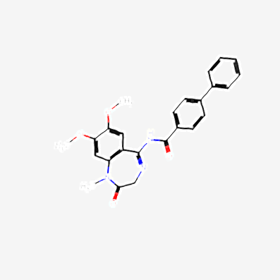 COc1cc2c(cc1OC)N(C)C(=O)CN=C2NC(=O)c1ccc(-c2ccccc2)cc1